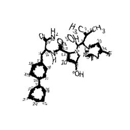 CC(C)C(C(O)N1CC(O)CC1C(=O)NC(Cc1ccc(-c2ccccc2)cc1)C(N)=O)n1cc(F)nn1